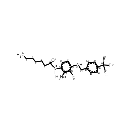 CCCCCCC(=O)Nc1ccc(NCc2ccc(C(F)(F)F)cc2)c(F)c1N